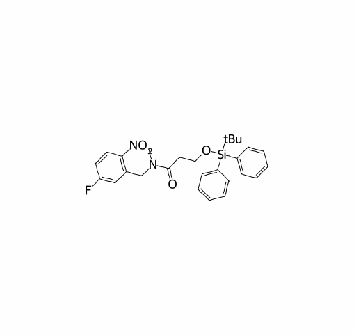 CN(Cc1cc(F)ccc1[N+](=O)[O-])C(=O)CCO[Si](c1ccccc1)(c1ccccc1)C(C)(C)C